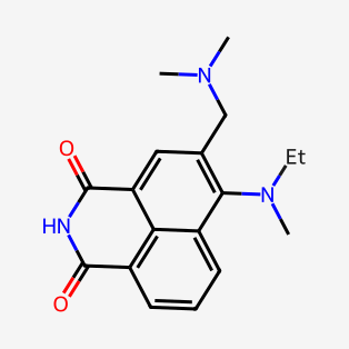 CCN(C)c1c(CN(C)C)cc2c3c(cccc13)C(=O)NC2=O